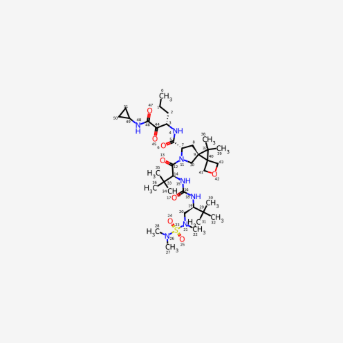 CCC[C@H](NC(=O)[C@@H]1C[C@@]2(CN1C(=O)[C@@H](NC(=O)N[C@H](CN(C)S(=O)(=O)N(C)C)C(C)(C)C)C(C)(C)C)C(C)(C)C21COC1)C(=O)C(=O)NC1CC1